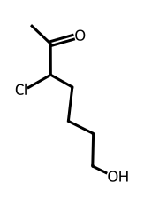 CC(=O)C(Cl)CCCCO